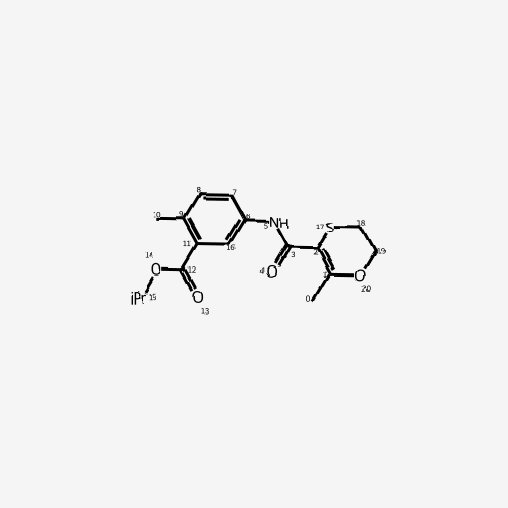 CC1=C(C(=O)Nc2ccc(C)c(C(=O)OC(C)C)c2)SCCO1